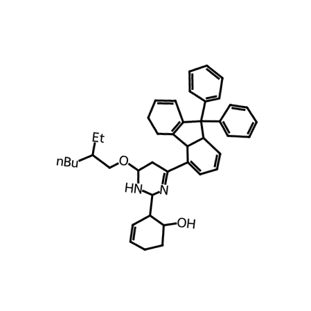 CCCCC(CC)COC1CC(C2=CC=CC3C2C2=C(C=CCC2)C3(c2ccccc2)c2ccccc2)=NC(C2C=CCCC2O)N1